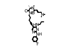 CCCNc1nc(Nc2cccc(F)c2)ncc1C#CCCCNC(=O)[C@H](C)N(C)C(=O)C=CCN(C)C